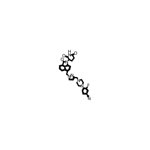 N#Cc1ccc(N2CCN(Cc3ccn(Cc4ccc5c6c(cccc46)C(=O)N5C4CCC(=O)NC4=O)n3)CC2)c(F)c1